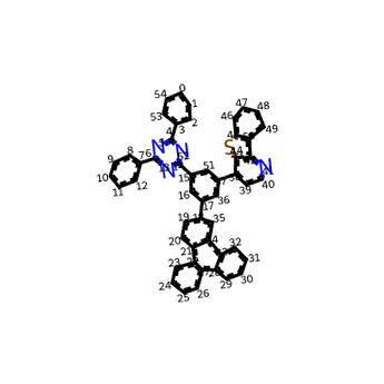 c1ccc(-c2nc(-c3ccccc3)nc(-c3cc(-c4ccc5c6ccccc6c6ccccc6c5c4)cc(-c4ccnc5c4sc4ccccc45)c3)n2)cc1